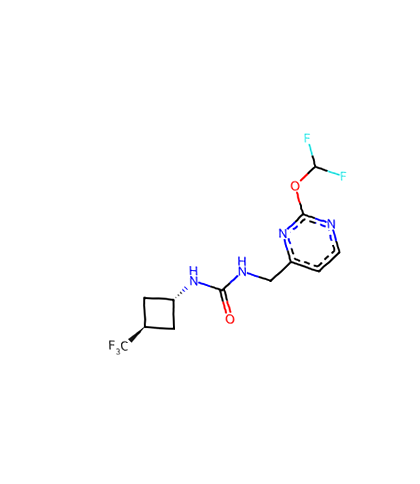 O=C(NCc1ccnc(OC(F)F)n1)N[C@H]1C[C@H](C(F)(F)F)C1